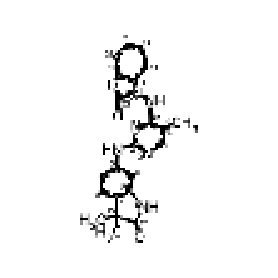 Cc1cnc(Nc2ccc3c(c2)NC(=O)C3(C)C)nc1Nn1c(=O)oc2ccccc21